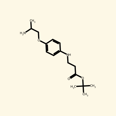 CC(N)COc1ccc(NCCC(=O)OC(C)(C)C)cc1